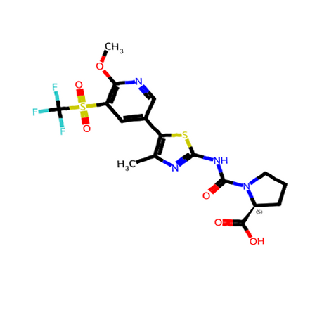 COc1ncc(-c2sc(NC(=O)N3CCC[C@H]3C(=O)O)nc2C)cc1S(=O)(=O)C(F)(F)F